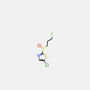 [O-][S+](CCCF)c1ncc(Cl)s1